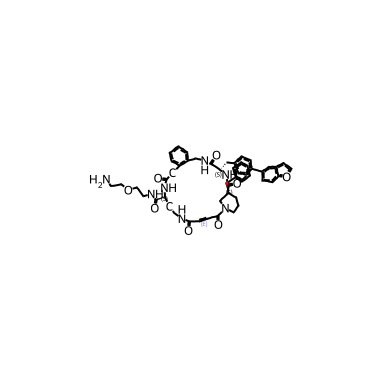 NCCOCCNC(=O)[C@@H]1CCNC(=O)/C=C/C(=O)N2CCC[C@](Cc3ccccc3)(C2)C(=O)N[C@@H](Cc2ccc(-c3ccc4occc4c3)cc2)C(=O)NCc2ccccc2CC(=O)N1